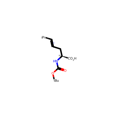 CC(C)/C=C/C[C@H](NC(=O)OC(C)(C)C)C(=O)O